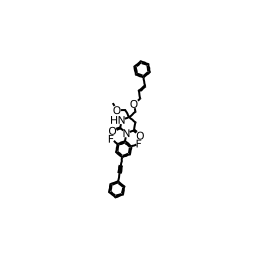 COCC1(COCC=Cc2ccccc2)CC(=O)N(c2c(F)cc(C#Cc3ccccc3)cc2F)C(=O)N1